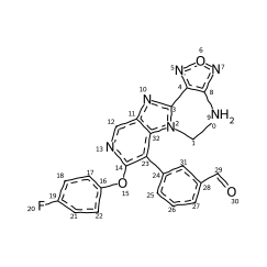 CCn1c(-c2nonc2N)nc2cnc(Oc3ccc(F)cc3)c(-c3cccc(C=O)c3)c21